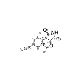 CC#Cc1cc(C)c(C2C(=O)NC(C)C2=O)c(CC)c1